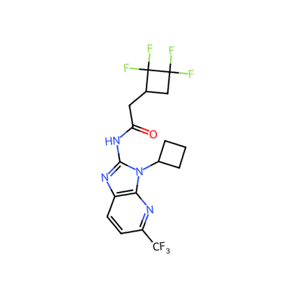 O=C(CC1CC(F)(F)C1(F)F)Nc1nc2ccc(C(F)(F)F)nc2n1C1CCC1